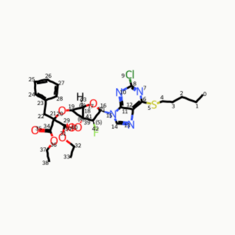 CCCCCSc1nc(Cl)nc2c1ncn2[C@@H]1O[C@@H]2C(OC(Cc3ccccc3)(C(=O)OCC)C(=O)OCC)[C@]2(O)[C@@H]1F